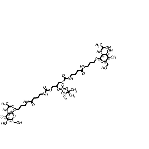 CC(=O)N[C@H]1[C@H](OCCCNC(=O)CCCNC(=O)OCC(COC(=O)NCCCC(=O)NCCCO[C@@H]2O[C@H](CO)[C@H](O)[C@H](O)[C@H]2NC(C)O)OP(=O)(O)OC(C)(C)C)O[C@H](CO)[C@H](O)[C@@H]1O